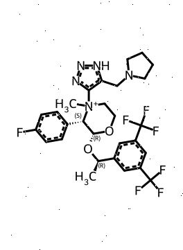 C[C@@H](O[C@H]1OCC[N+](C)(c2nn[nH]c2CN2CCCC2)[C@H]1c1ccc(F)cc1)c1cc(C(F)(F)F)cc(C(F)(F)F)c1